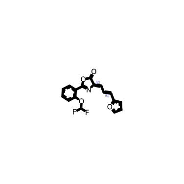 O=C1OC(c2ccccc2OC(F)F)=N/C1=C\C=C\c1ccco1